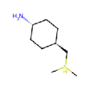 C[SH](C)C[C@H]1CC[C@H](N)CC1